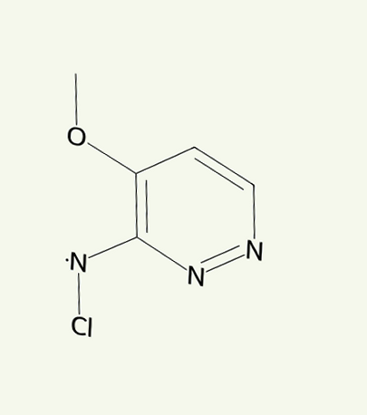 COc1ccnnc1[N]Cl